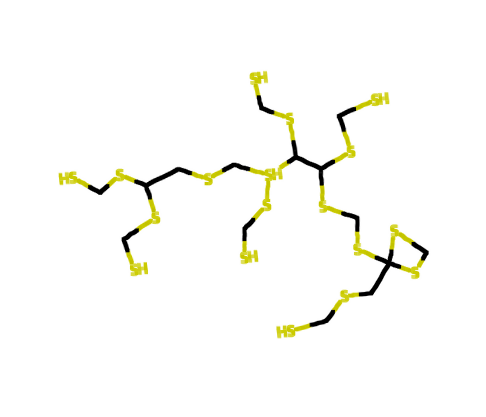 SCSCC1(SCSC(SCS)C(SCS)[SH](CSCC(SCS)SCS)SCS)SCS1